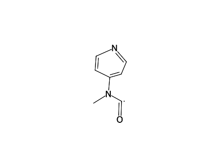 CN([C]=O)c1ccncc1